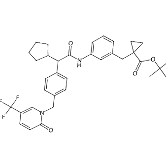 CC(C)(C)OC(=O)C1(Cc2cccc(NC(=O)C(c3ccc(Cn4cc(C(F)(F)F)ccc4=O)cc3)C3CCCC3)c2)CC1